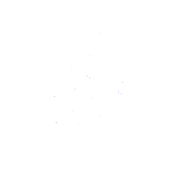 COC(=O)c1sc2nc(C)cc(NS(=O)(=O)c3cccc(Cl)c3)c2c1-c1cccc(OC)c1